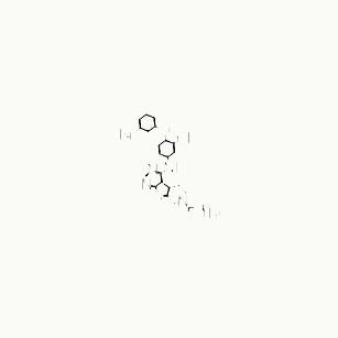 Cc1cc(Nc2ncnc3sc4c(c23)CCN(C(=O)OC(C)(C)C)C4)ccc1Oc1cccc(Br)c1